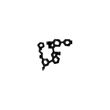 Fc1cc(OCCN2CCCC2)cc(-c2cccc3[nH]c(-c4n[nH]c5ccc(-c6ccncc6)cc45)cc23)c1